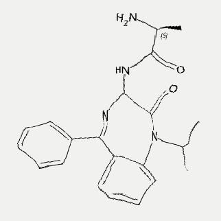 CC(C)N1C(=O)C(NC(=O)[C@H](C)N)N=C(c2ccccc2)c2ccccc21